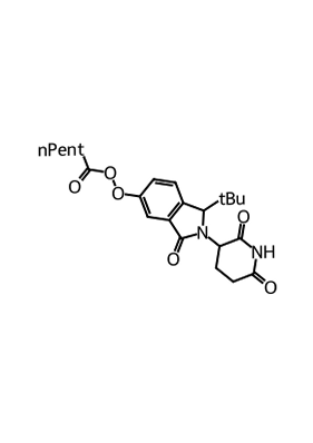 CCCCCC(=O)OOc1ccc2c(c1)C(=O)N(C1CCC(=O)NC1=O)C2C(C)(C)C